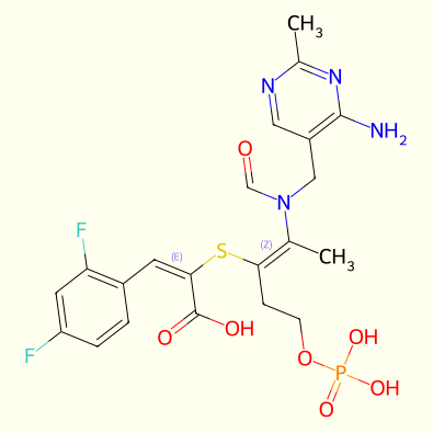 C/C(=C(\CCOP(=O)(O)O)S/C(=C/c1ccc(F)cc1F)C(=O)O)N(C=O)Cc1cnc(C)nc1N